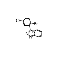 Clc1ccc(Br)c(-c2nnc3ccccn23)c1